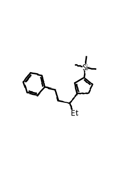 CCC(CCc1ccccc1)C1=CC([Si](C)(C)C)=CC1